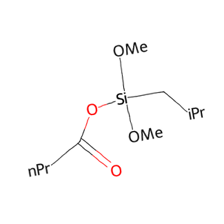 CCCC(=O)O[Si](CC(C)C)(OC)OC